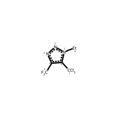 CCn1nnc(C(F)(F)F)c1C(Cl)(Cl)Cl